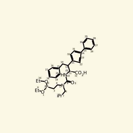 CCOP(CCN(CC(C)C)C(=O)N[C@H](C(=O)O)C(Cc1ccccc1)c1ccc(-c2ccccc2)cc1)OCC